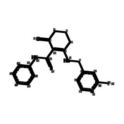 O=C1CCCC(NCc2ccnc(F)c2)=C1C(=S)Nc1ccccc1